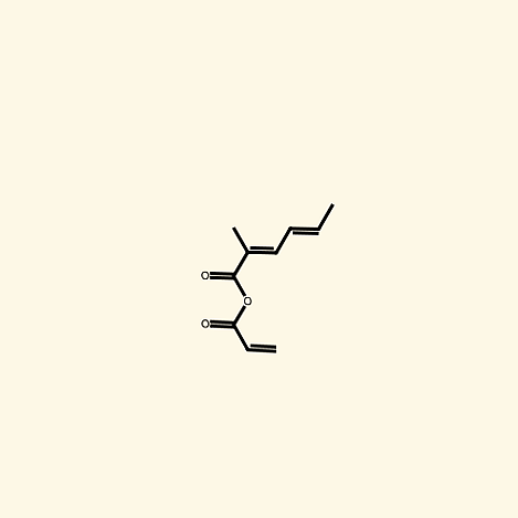 C=CC(=O)OC(=O)C(C)=CC=CC